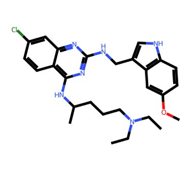 CCN(CC)CCCC(C)Nc1nc(NCc2c[nH]c3ccc(OC)cc23)nc2cc(Cl)ccc12